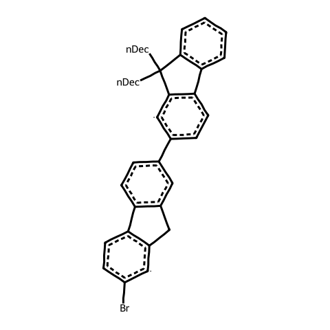 CCCCCCCCCCC1(CCCCCCCCCC)c2[c]c(-c3ccc4c(c3)Cc3[c]c(Br)ccc3-4)ccc2-c2ccccc21